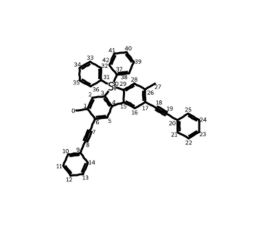 Cc1cc2c(cc1C#Cc1ccccc1)-c1cc(C#Cc3ccccc3)c(C)cc1[Si]2(c1ccccc1)c1ccccc1